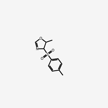 Cc1ccc(S(=O)(=O)C2N=COC2C)cc1